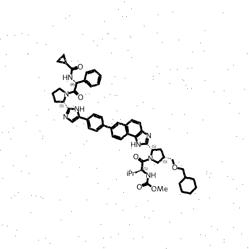 COC(=O)N[C@H](C(=O)N1C[C@@H](COCC2CCCCC2)C[C@H]1c1nc2ccc3cc(-c4ccc(-c5cnc([C@@H]6CCCN6C(=O)[C@H](NC(=O)C6CC6)c6ccccc6)[nH]5)cc4)ccc3c2[nH]1)C(C)C